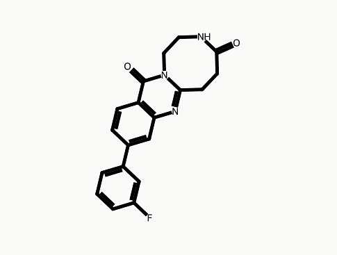 O=C1CCc2nc3cc(-c4cccc(F)c4)ccc3c(=O)n2CCN1